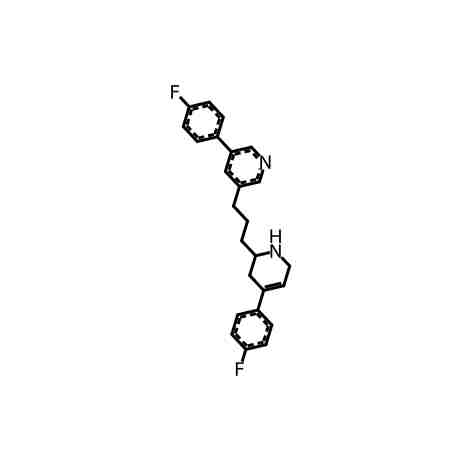 Fc1ccc(C2=CCNC(CCCc3cncc(-c4ccc(F)cc4)c3)C2)cc1